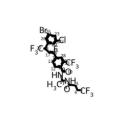 C[C@H](NC(=O)CCC(F)(F)F)NC(=O)c1ccc(/C(F)=C/C(c2cc(Cl)cc(Br)c2)C(F)(F)F)cc1C(F)(F)F